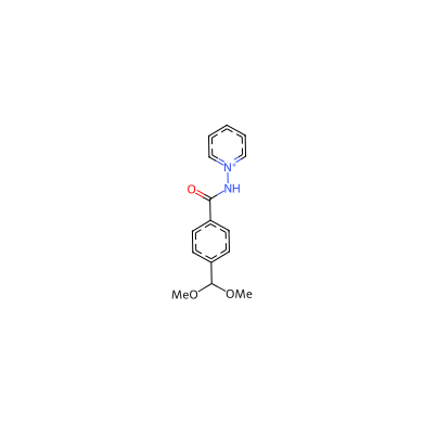 COC(OC)c1ccc(C(=O)N[n+]2ccccc2)cc1